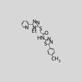 CCn1c(SCC(=O)Nc2nnc(-c3ccc(C)cc3)s2)nnc1-c1ccccn1